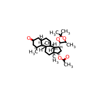 CC(=O)O[C@H]1C[C@@H](C2OC(C)(C)OC2C)[C@H]2[C@@H]3CC[C@H]4CC(=O)C[C@H](C)[C@]4(C)[C@H]3CC[C@@]21C